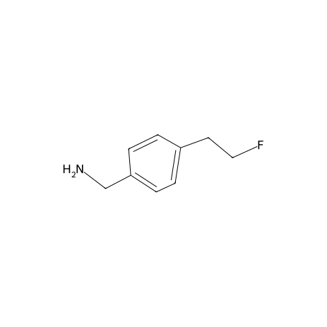 NCc1ccc(CCF)cc1